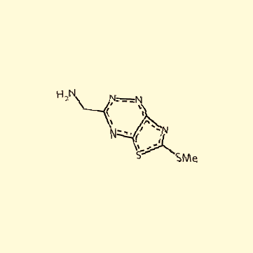 CSc1nc2nnc(CN)nc2s1